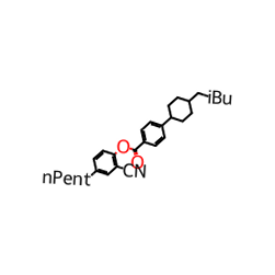 CCCCCc1ccc(OC(=O)c2ccc(C3CCC(CC(C)CC)CC3)cc2)c(C#N)c1